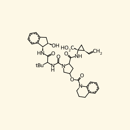 C=C[C@@H]1C[C@]1(NC(=O)C1CC(OC(=O)N2CCCc3ccccc32)CN1C(=O)NC(C(=O)N[C@H]1c2ccccc2C[C@H]1O)C(C)(C)C)C(=O)O